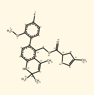 COc1cc(F)ccc1-c1ccc2c(c1COC(=O)C1CC(C)=CS1)C(C)=CC(C)(C)N2